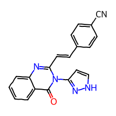 N#Cc1ccc(/C=C/c2nc3ccccc3c(=O)n2-c2cc[nH]n2)cc1